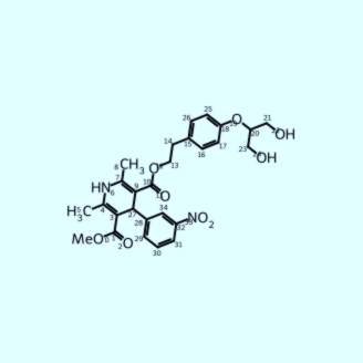 COC(=O)C1=C(C)NC(C)=C(C(=O)OCCc2ccc(OC(CO)CO)cc2)C1c1cccc([N+](=O)[O-])c1